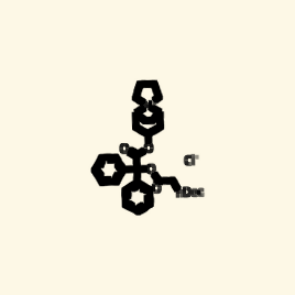 CCCCCCCCCCCC(=O)OC(C(=O)OC1CC2CCC(C1)[N+]21CCCC1)(c1ccccc1)c1ccccc1.[Cl-]